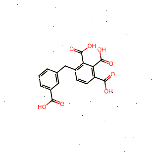 O=C(O)c1cccc(Cc2ccc(C(=O)O)c(C(=O)O)c2C(=O)O)c1